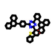 c1ccc(-c2cc3ccccc3c3ccccc23)c(-c2nc(-c3ccc(-c4cc5ccccc5c5ccccc45)cc3)nc(-c3cccc4c3sc3ccccc34)n2)c1